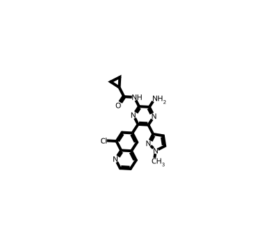 Cn1ccc(-c2nc(N)c(NC(=O)C3CC3)nc2-c2cc(Cl)c3ncccc3c2)n1